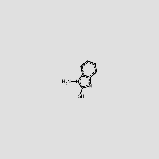 Nn1c(S)nc2ccccc21